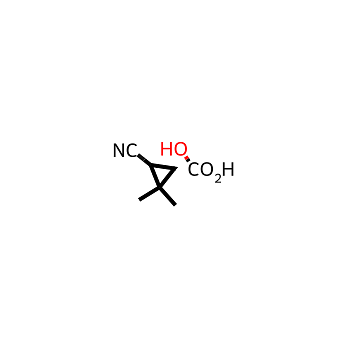 CC1(C)CC1C#N.O=C(O)O